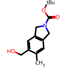 Cc1cc2c(cc1CO)CN(C(=O)OC(C)(C)C)C2